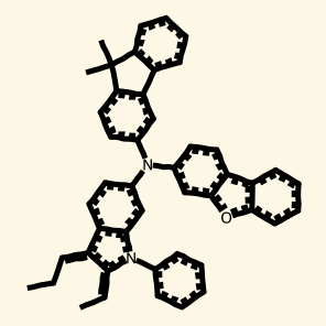 C/C=c1\c(=C/CC)c2ccc(N(c3ccc4c(c3)-c3ccccc3C4(C)C)c3ccc4c(c3)oc3ccccc34)cc2n1-c1ccccc1